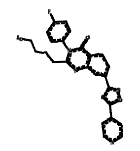 CC(=O)CCCCc1nc2cc(-c3noc(-c4ccncc4)n3)ccc2c(=O)n1-c1ccc(F)cc1